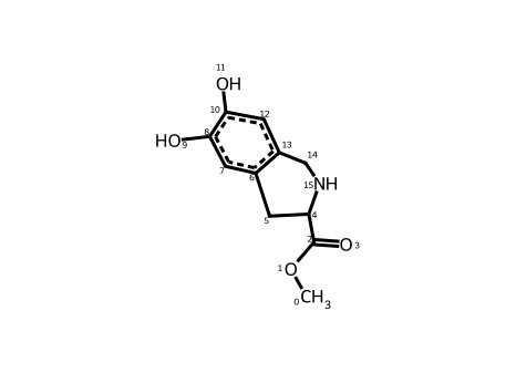 COC(=O)C1Cc2cc(O)c(O)cc2CN1